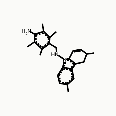 Cc1ccc2c(c1)c1c(n2NCc2c(C)c(C)c(N)c(C)c2C)C=CC(C)C1